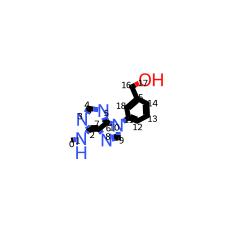 CNc1ncnc2c1ncn2-c1cccc(CO)c1